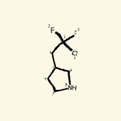 FC(F)(Cl)CC1CCNC1